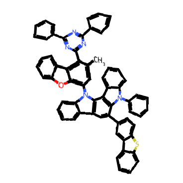 Cc1cc(-n2c3ccccc3c3cc(-c4ccc5sc6ccccc6c5c4)c4c(c5ccccc5n4-c4ccccc4)c32)c2oc3ccccc3c2c1-c1nc(-c2ccccc2)nc(-c2ccccc2)n1